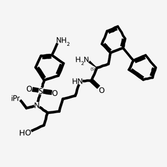 CC(C)CN(C(CO)CCCNC(=O)[C@@H](N)Cc1ccccc1-c1ccccc1)S(=O)(=O)c1ccc(N)cc1